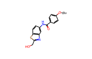 CC(C)(C)Oc1ccc(C(=O)Nc2ccc3sc(CO)nc3c2)cc1